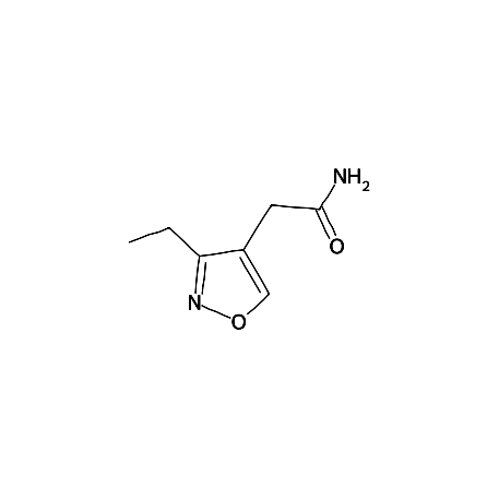 CCc1nocc1CC(N)=O